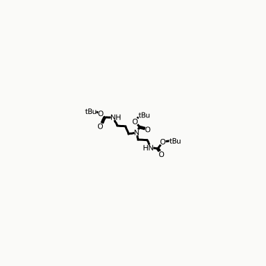 CC(C)(C)OC(=O)NCCCN(CCNC(=O)OC(C)(C)C)C(=O)OC(C)(C)C